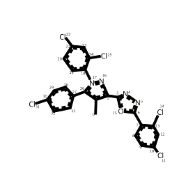 Cc1c(-c2nnc(-c3ccc(Cl)cc3Cl)o2)nn(-c2ccc(Cl)cc2Cl)c1-c1ccc(Cl)cc1